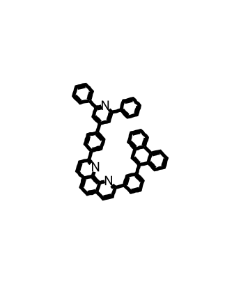 c1ccc(-c2cc(-c3ccc(-c4ccc5ccc6ccc(-c7cccc(-c8cc9ccccc9c9ccccc89)c7)nc6c5n4)cc3)cc(-c3ccccc3)n2)cc1